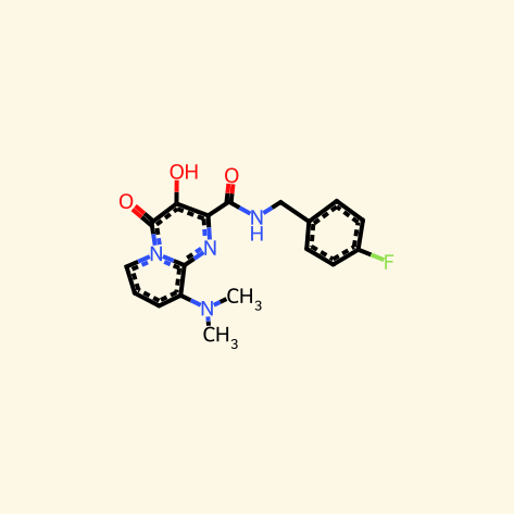 CN(C)c1cccn2c(=O)c(O)c(C(=O)NCc3ccc(F)cc3)nc12